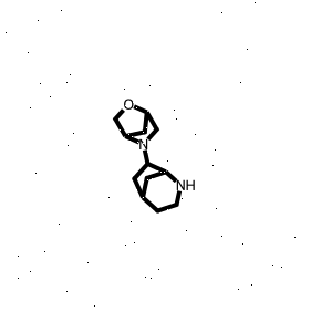 C1CC2CC(N1)C(N1CC3CC1CO3)C2